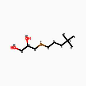 CC(C)(C)CCCSCC(O)CO